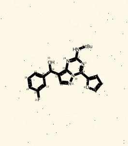 CC(C)(C)Nc1nc(-c2ccco2)n2ncc(C(O)c3cccc(F)c3)c2n1